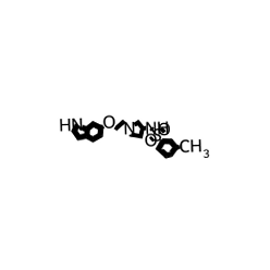 Cc1cccc(S(=O)(=O)NC2CCN(CCOc3ccc4cc[nH]c4c3)C2)c1